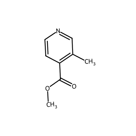 COC(=O)c1ccncc1C